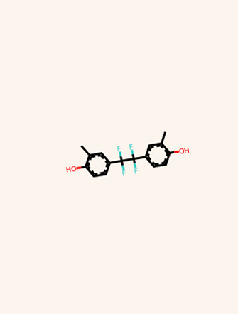 Cc1cc(C(F)(F)C(F)(F)c2ccc(O)c(C)c2)ccc1O